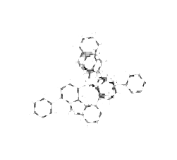 c1ccc(-c2nc(-c3ccccc3)nc(-c3cccc4oc5c(-c6ccccc6)ccc(-n6c7ccccc7c7cc8ccccc8cc76)c5c34)n2)cc1